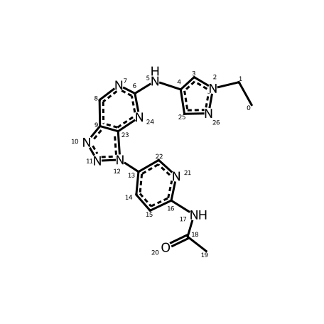 CCn1cc(Nc2ncc3nnn(-c4ccc(NC(C)=O)nc4)c3n2)cn1